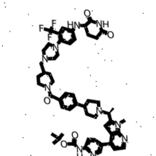 C[C@@H](c1cc2c(-c3ccc(NC(=O)OC(C)(C)C)nc3)ccnc2n1C)N1CCC(c2ccc(C(=O)N3CCC(CN4CCN(c5ccc(NC6CCC(=O)NC6=O)cc5C(F)(F)F)CC4)CC3)cc2)CC1